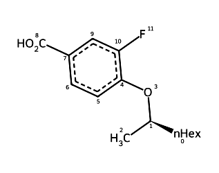 CCCCCC[C@@H](C)Oc1ccc(C(=O)O)cc1F